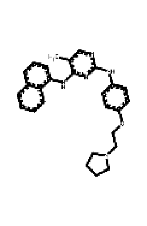 Cc1cnc(Nc2ccc(OCCN3CCCC3)cc2)nc1Nc1cccc2ccccc12